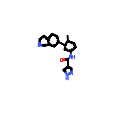 Cc1ccc(NC(=O)c2cn[nH]c2)cc1-c1ccc2ccncc2c1